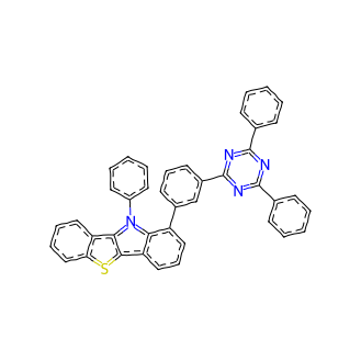 c1ccc(-c2nc(-c3ccccc3)nc(-c3cccc(-c4cccc5c6sc7ccccc7c6n(-c6ccccc6)c45)c3)n2)cc1